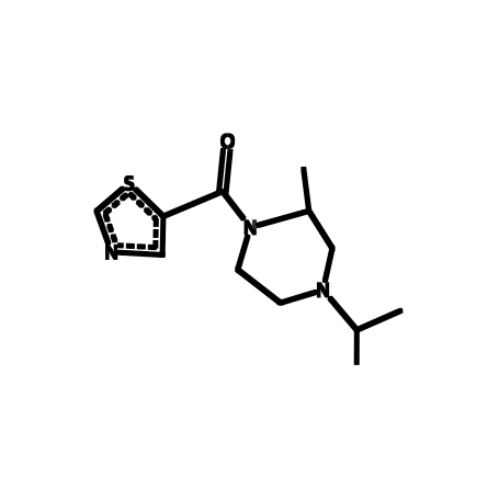 CC(C)N1CCN(C(=O)c2cncs2)C(C)C1